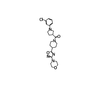 O=C(C1CCN(c2cccc(Cl)c2)C1)N1CCC(c2nc(N3CCOCC3)no2)CC1